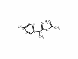 C=C(C)OC(=O)C(C)c1ccc(Cl)cc1